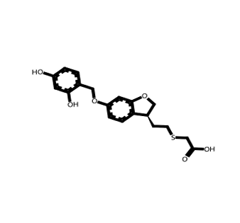 O=C(O)CSCC[C@@H]1COc2cc(OCc3ccc(O)cc3O)ccc21